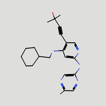 CC(C)(O)C#Cc1cnc(Nc2cnc(C#N)cn2)cc1NCC1CCCCC1